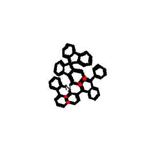 c1ccc(-c2ccccc2N(c2ccccc2-c2ccc(-c3ccccc3)c3ccccc23)c2cccc3c2-c2ccccc2C32c3ccccc3-c3ccccc32)cc1